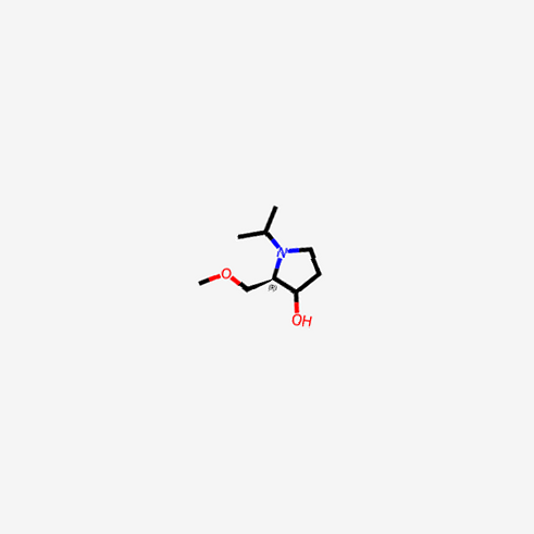 COC[C@@H]1C(O)CCN1C(C)C